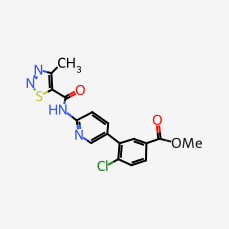 COC(=O)c1ccc(Cl)c(-c2ccc(NC(=O)c3snnc3C)nc2)c1